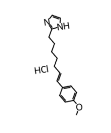 COc1ccc(C=CCCCCCc2ncc[nH]2)cc1.Cl